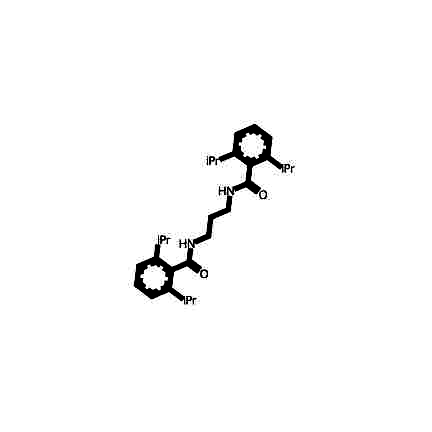 CC(C)c1cccc(C(C)C)c1C(=O)NCCCNC(=O)c1c(C(C)C)cccc1C(C)C